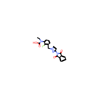 CCN(C(=O)O)c1cccc(Cn2ccc(N3C(=O)c4ccccc4C3=O)n2)c1F